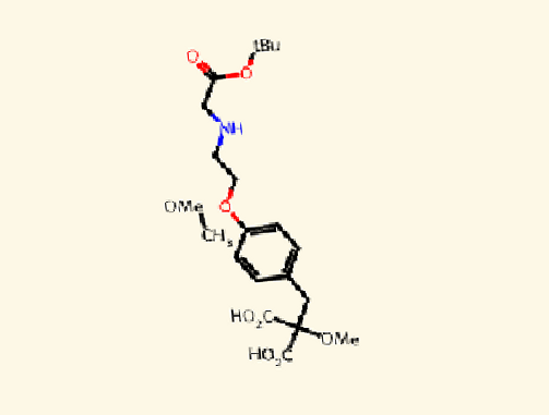 COC.COC(Cc1ccc(OCCNCC(=O)OC(C)(C)C)cc1)(C(=O)O)C(=O)O